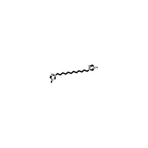 C[n+]1cnn(CCCCCCCCCCCCn2c[n+](C)cn2)c1